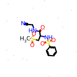 CS(=O)(=O)CC(NS(=O)(=O)c1ccccc1)C(=O)NCC#N